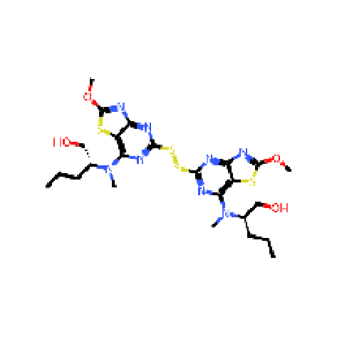 CCC[C@H](CO)N(C)c1nc(SSc2nc(N(C)[C@@H](CO)CCC)c3sc(OC)nc3n2)nc2nc(OC)sc12